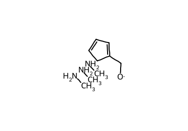 CN.CN.CN.[O]CC1=CC=CC1